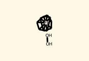 OO.[CH]12[CH]3[CH]4[CH]5[CH]1[Fe]23451678[CH]2[CH]1[CH]6[CH]7[CH]28